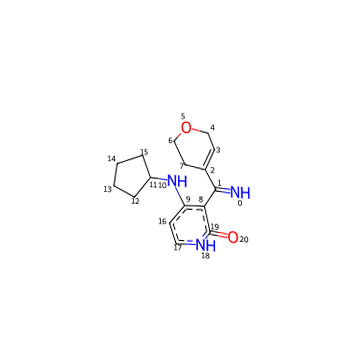 N=C(C1=CCOCC1)c1c(NC2CCCC2)cc[nH]c1=O